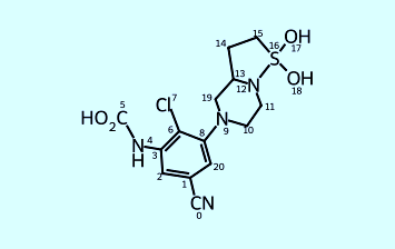 N#Cc1cc(NC(=O)O)c(Cl)c(N2CCN3C(CCS3(O)O)C2)c1